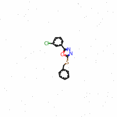 Clc1cccc(-c2nnc(SCc3ccccc3)o2)c1